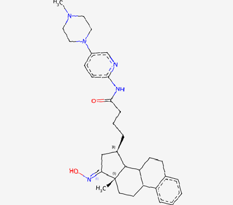 CN1CCN(c2ccc(NC(=O)CCC[C@@H]3C/C(=N\O)[C@@]4(C)CCC5c6ccccc6CCC5C34)nc2)CC1